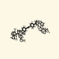 COC(=O)N[C@H](C(=O)N1CCC[C@H]1c1nc(-c2ccc(C#Cc3ccc4[nH]c([C@@H]5C[C@@H](O)CN5C(=O)[C@@H](NC(=O)OC)C(C)C)nc4c3)cc2)c[nH]1)C(C)C